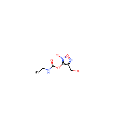 CC(C)CNC(=O)Oc1c(CO)no[n+]1[O-]